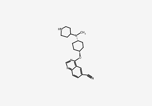 CN(C1CCNCC1)[C@H]1CC[C@H](Oc2ncnc3ccc(C#N)cc23)CC1